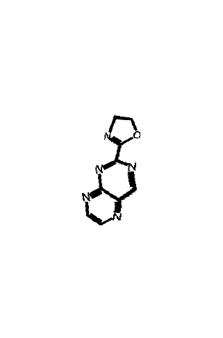 c1cnc2nc(C3=NCCO3)ncc2n1